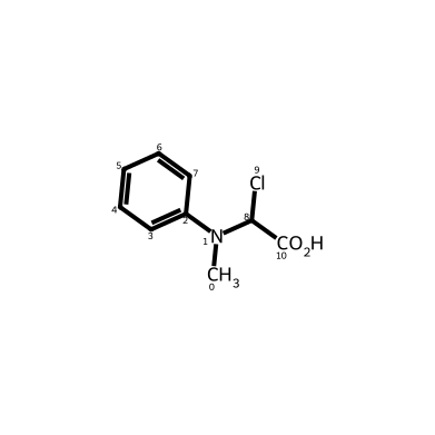 CN(c1ccccc1)C(Cl)C(=O)O